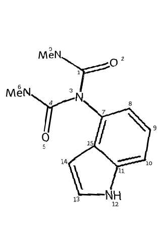 CNC(=O)N(C(=O)NC)c1cccc2[nH]ccc12